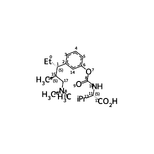 CC[C@H](c1cccc(OC(=O)N[C@H](C(=O)O)C(C)C)c1)[C@H](C)CN(C)C